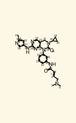 CN(C)C/C=C/C(=O)Nc1cccc(N2C(=O)N(C3CC3)Cc3cnc(Nc4cnn(C)c4)nc32)c1